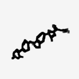 Cc1cc(C(N)=O)nn1-c1ccc2c(ccn2Cc2ccc(C3=CCN(C)CC3C)cc2)c1